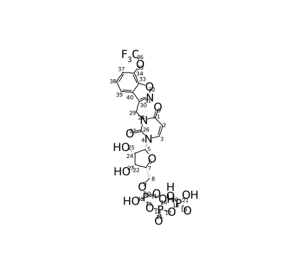 O=c1ccn([C@@H]2O[C@H](COP(=O)(O)OP(=O)(O)OP(=O)(O)O)[C@H](O)[C@@H]2O)c(=O)n1Cc1noc2c(OC(F)(F)F)cccc12